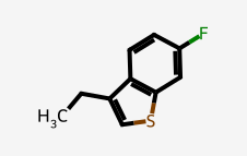 CCc1csc2cc(F)ccc12